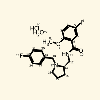 COc1ccc(I)cc1C(=O)NC[C@H]1CCCN1Cc1ccc(F)cc1.Cl.O